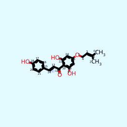 CC(C)=CCOc1cc(O)c(C(=O)/C=C/c2ccc(O)cc2)c(O)c1